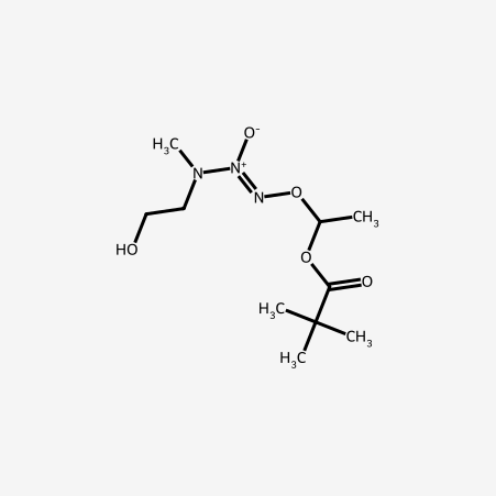 CC(O/N=[N+](\[O-])N(C)CCO)OC(=O)C(C)(C)C